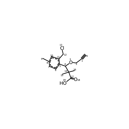 C#CCOC(c1ccc(C)cc1CCl)C(C)(C)C(=O)O